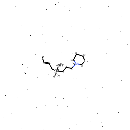 C/C=C/C[Si](CCC)(CCC)CCCN1CCCCC1